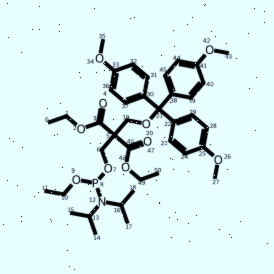 CCOC(=O)C(COP(OCC)N(C(C)C)C(C)C)(COC(c1ccc(OC)cc1)(c1ccc(OC)cc1)c1ccc(OC)cc1)C(=O)OCC